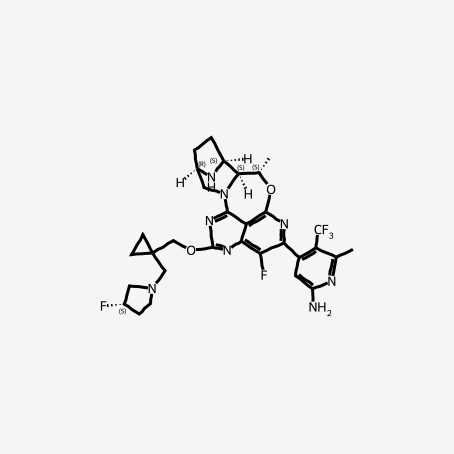 Cc1nc(N)cc(-c2nc3c4c(nc(OCC5(CN6CC[C@H](F)C6)CC5)nc4c2F)N2C[C@H]4CC[C@H](N4)[C@H]2[C@H](C)O3)c1C(F)(F)F